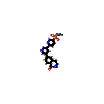 CNS(=O)(=O)c1ccc(-c2cncc(-c3ccc4c(c3)CCNC4=O)c2)nc1